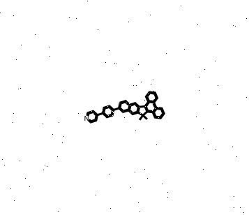 CC1(C)c2cc3cc(-c4ccc(-c5ccncc5)cc4)ccc3cc2-c2c1c1ccccc1c1ccccc21